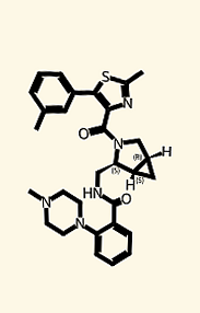 Cc1cccc(-c2sc(C)nc2C(=O)N2C[C@@H]3C[C@@H]3[C@H]2CNC(=O)c2ccccc2N2CCN(C)CC2)c1